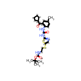 Cc1ccc(NC(=O)Nc2ncc(SCCNC(=O)OC(C)(C)C)s2)c(C(=O)C2CCCC2)c1